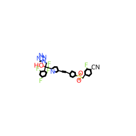 N#Cc1ccc(CS(=O)(=O)c2ccc(C#Cc3ccc(C(F)(F)C(O)(Cn4cnnn4)c4ccc(F)cc4F)nc3)cc2)cc1F